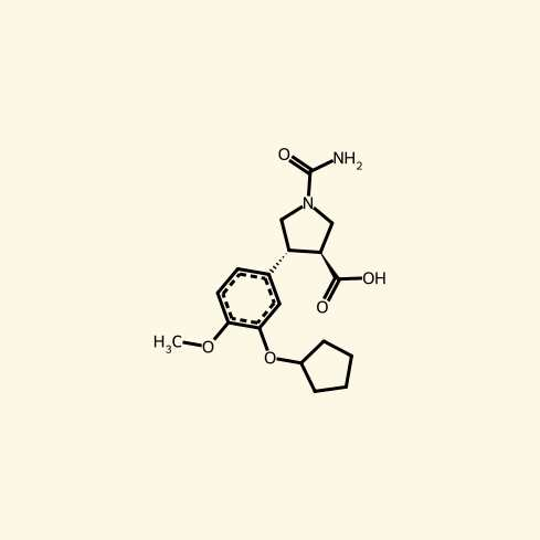 COc1ccc([C@@H]2CN(C(N)=O)C[C@H]2C(=O)O)cc1OC1CCCC1